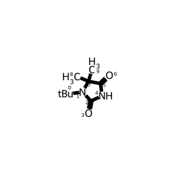 CC(C)(C)N1C(=O)NC(=O)C1(C)C